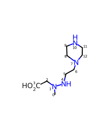 CN(CC(=O)O)NCCN1CCNCC1